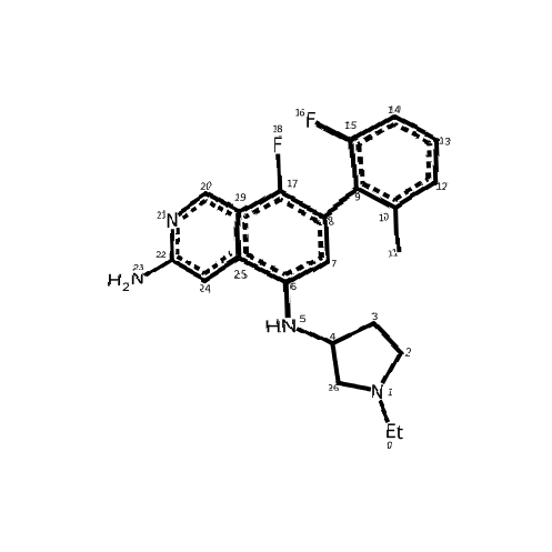 CCN1CCC(Nc2cc(-c3c(C)cccc3F)c(F)c3cnc(N)cc23)C1